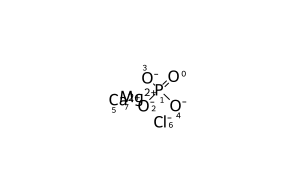 O=P([O-])([O-])[O-].[Ca+2].[Cl-].[Mg+2]